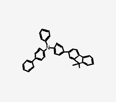 CC1(C)c2ccccc2-c2ccc(-c3ccc(N(c4ccccc4)c4ccc(-c5ccccc5)cc4)cc3)cc21